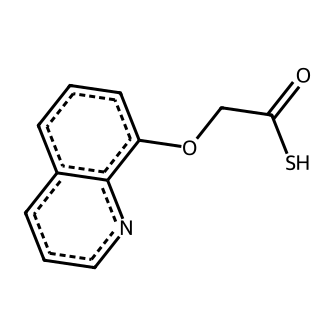 O=C(S)COc1cccc2cccnc12